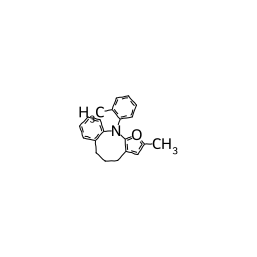 Cc1cc2c(o1)N(c1ccccc1C)c1ccccc1CCC2